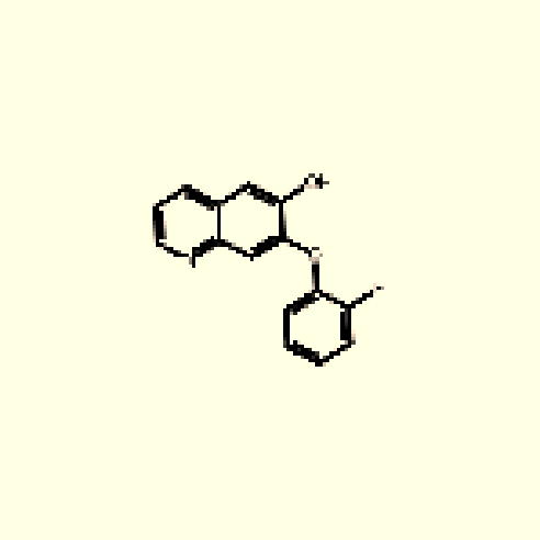 Oc1cc2cccnc2cc1Oc1ccccc1F